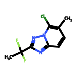 Cc1ccc2nc(C(C)(F)F)nn2c1Cl